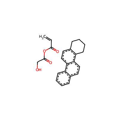 C=CC(=O)OC(=O)CO.c1ccc2c(c1)ccc1c3c(ccc12)CCCC3